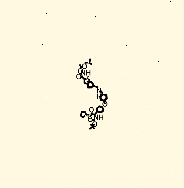 CC(C)COC(C)ONC(=O)C1Cc2ccc(CNCc3ccc(OC4=CCC([C@H](NC(=O)OC(C)(C)C)C(=O)OC5CCCC5)C=C4)cc3)cc2S1